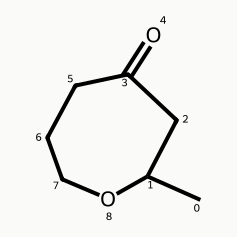 CC1CC(=O)CCCO1